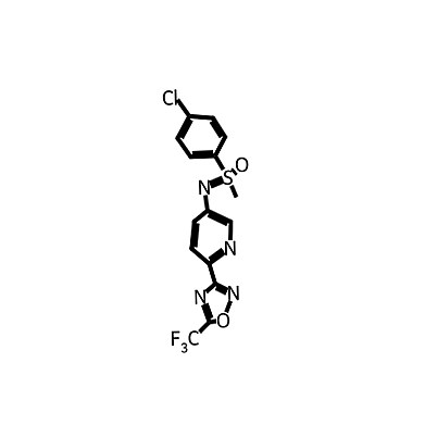 CS(=O)(=Nc1ccc(-c2noc(C(F)(F)F)n2)nc1)c1ccc(Cl)cc1